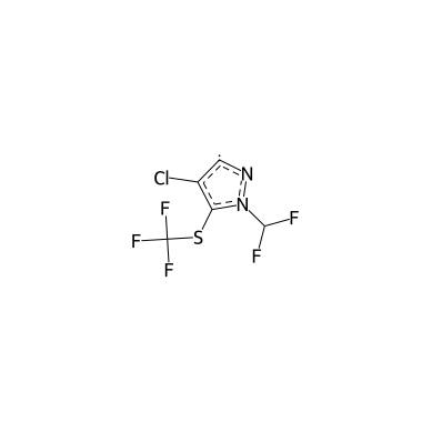 FC(F)n1n[c]c(Cl)c1SC(F)(F)F